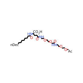 CCCCCCCCCCCCCCCCCC(=O)NC(CCC(=O)NCCOCCOCC(=O)NCCOCCOCC(C)=O)C(=O)O